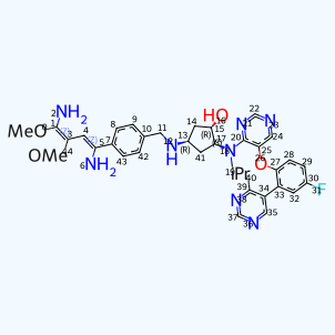 CO/C(N)=C(/C=C(\N)c1ccc(CN[C@H]2C[C@@H](O)[C@@H](N(C)c3ncncc3Oc3ccc(F)cc3-c3cncnc3C(C)C)C2)cc1)OC